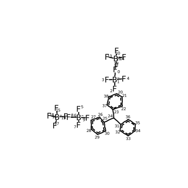 F[B-](F)(F)F.F[B-](F)(F)F.F[B-](F)(F)F.F[B-](F)(F)F.c1ccc(C(c2ccccc2)c2ccccc2)cc1